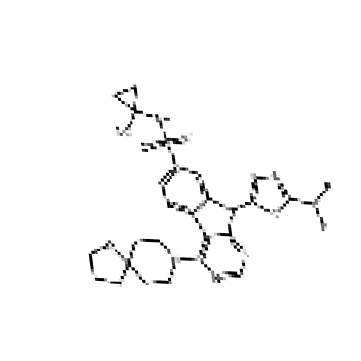 N#CC1(NS(=O)(=O)c2ccc3c4c(N5CCC6(CCCO6)CC5)ncnc4n(-c4nnc(C(F)F)s4)c3c2)CC1